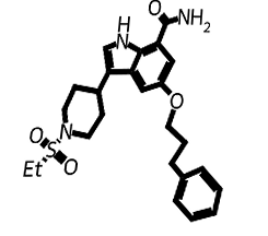 CCS(=O)(=O)N1CCC(c2c[nH]c3c(C(N)=O)cc(OCCCc4ccccc4)cc23)CC1